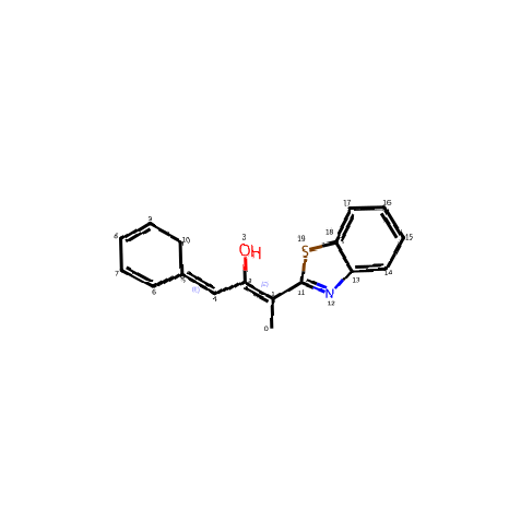 C/C(=C(O)\C=C1\C=CC=CC1)c1nc2ccccc2s1